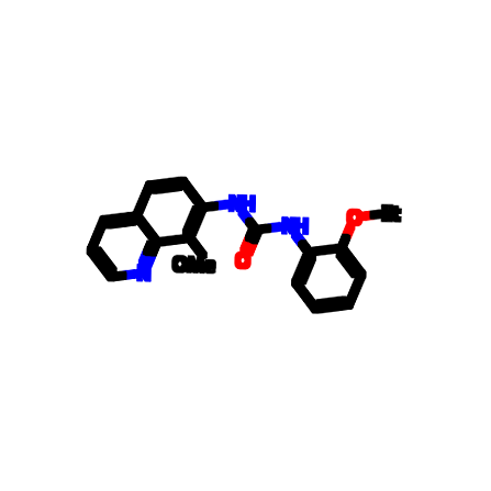 CCOc1ccccc1NC(=O)Nc1ccc2cccnc2c1OC